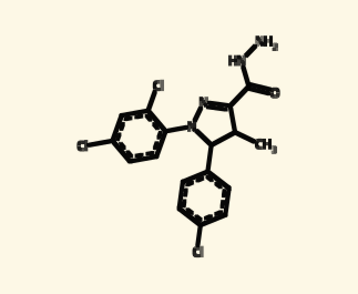 CC1C(C(=O)NN)=NN(c2ccc(Cl)cc2Cl)C1c1ccc(Cl)cc1